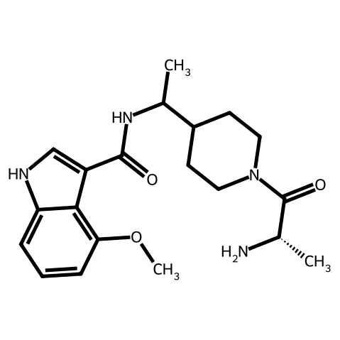 COc1cccc2[nH]cc(C(=O)NC(C)C3CCN(C(=O)[C@H](C)N)CC3)c12